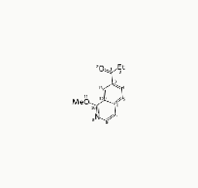 CCC(=O)c1ccc2ccnc(OC)c2c1